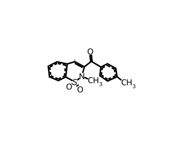 Cc1ccc(C(=O)C2=[C]c3ccccc3S(=O)(=O)N2C)cc1